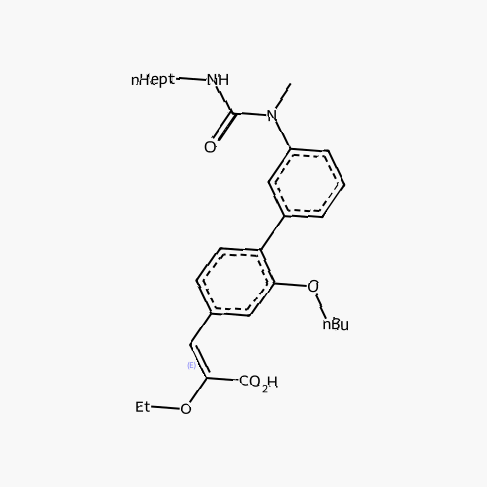 CCCCCCCNC(=O)N(C)c1cccc(-c2ccc(/C=C(/OCC)C(=O)O)cc2OCCCC)c1